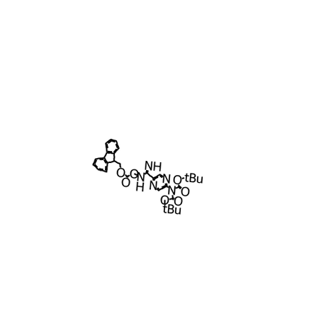 CC(C)(C)OC(=O)N(C(=O)OC(C)(C)C)c1cnc(C(=N)NOC(=O)OCC2c3ccccc3-c3ccccc32)cn1